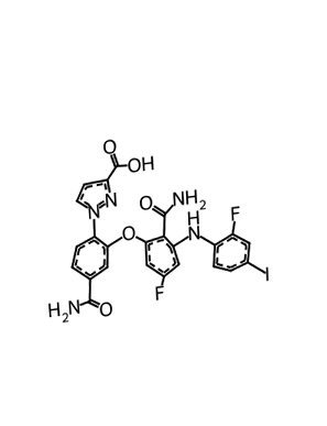 NC(=O)c1ccc(-n2ccc(C(=O)O)n2)c(Oc2cc(F)cc(Nc3ccc(I)cc3F)c2C(N)=O)c1